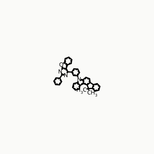 CC1(C)c2ccccc2-c2ccc3c(c21)c1ccccc1n3-c1cccc(-c2nc(-c3ccccc3)nc3oc4ccccc4c23)c1